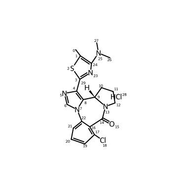 Cc1sc(-c2ncn3c2[C@@H]2CCCN2C(=O)c2c(Cl)cccc2-3)nc1N(C)C.Cl